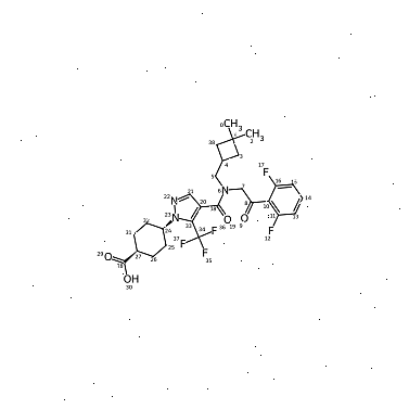 CC1(C)CC(CN(CC(=O)c2c(F)cccc2F)C(=O)c2cnn([C@H]3CC[C@@H](C(=O)O)CC3)c2C(F)(F)F)C1